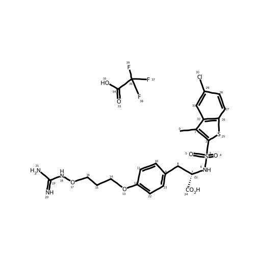 Cc1c(S(=O)(=O)N[C@@H](Cc2ccc(OCCCONC(=N)N)cc2)C(=O)O)sc2ccc(Cl)cc12.O=C(O)C(F)(F)F